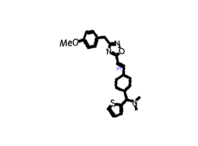 COc1ccc(Cc2noc(/C=C/C3CCC(C(c4cccs4)N(C)C)CC3)n2)cc1